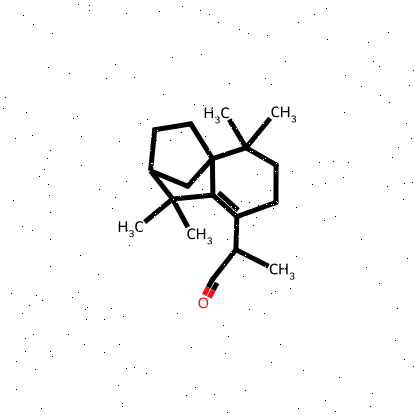 CC(C=O)C1=C2C(C)(C)C3CCC2(C3)C(C)(C)CC1